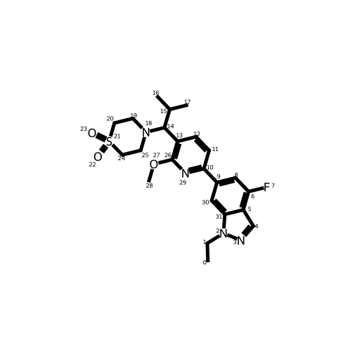 CCn1ncc2c(F)cc(-c3ccc(C(C(C)C)N4CCS(=O)(=O)CC4)c(OC)n3)cc21